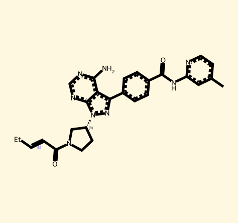 CC/C=C/C(=O)N1CC[C@@H](n2nc(-c3ccc(C(=O)Nc4cc(C)ccn4)cc3)c3c(N)ncnc32)C1